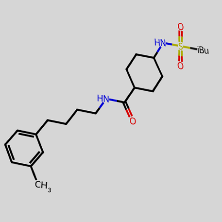 CCC(C)S(=O)(=O)NC1CCC(C(=O)NCCCCc2cccc(C)c2)CC1